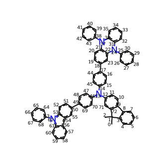 CC1(C)c2ccccc2-c2ccc(N(c3ccc(-c4ccc5c(c4)N(c4ccccc4)c4ccccc4N5c4ccccc4)cc3)c3ccc(-c4ccc5c(c4)c4ccccc4n5-c4ccccc4)cc3)cc21